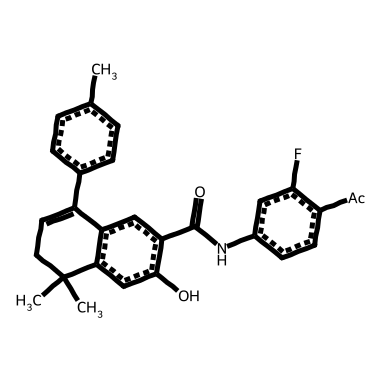 CC(=O)c1ccc(NC(=O)c2cc3c(cc2O)C(C)(C)CC=C3c2ccc(C)cc2)cc1F